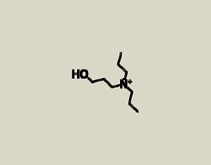 CCC[N+](CCC)CCCO